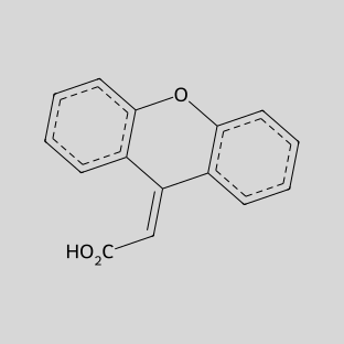 O=C(O)C=C1c2ccccc2Oc2ccccc21